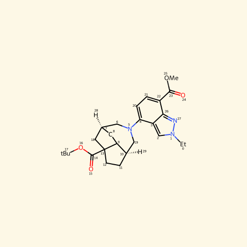 CCn1cc2c(N3C[C@H]4CC5[C@H](CCC5(C(=O)OC(C)(C)C)C4)C3)ccc(C(=O)OC)c2n1